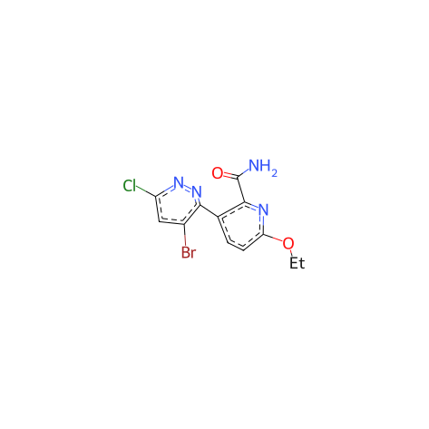 CCOc1ccc(-c2nnc(Cl)cc2Br)c(C(N)=O)n1